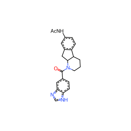 CC(=O)Nc1ccc2c(c1)CC1C2CCCN1C(=O)c1ccc2[nH]cnc2c1